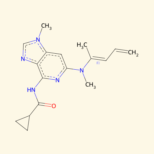 C=C/C=C(\C)N(C)c1cc2c(ncn2C)c(NC(=O)C2CC2)n1